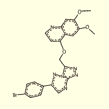 COc1cc2nccc(OCc3nnc4ncc(-c5ccc(Br)cc5)nn34)c2cc1OC